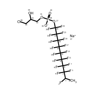 CC(F)C(F)(F)C(F)(F)C(F)(F)C(F)(F)C(F)(F)C(F)(F)C(F)(F)C(F)(F)OP(=O)([O-])OCC(O)CCl.[Na+]